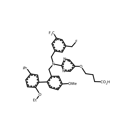 CCOc1ccc(C(C)C)cc1-c1ccc(OC)cc1CN(Cc1cc(CF)cc(C(F)(F)F)c1)c1ncc(OCCCC(=O)O)cn1